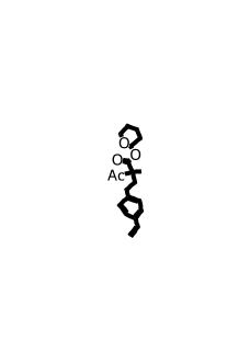 C=Cc1ccc(CCC(C)(C(C)=O)C(=O)OC2CCCCO2)cc1